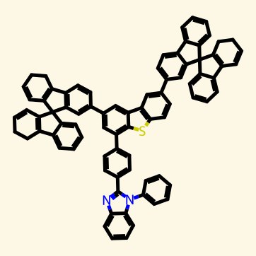 C1=CC2=C(CC1)c1ccccc1C21C2=C(CCC=C2)c2ccc(-c3cc(-c4ccc(-c5nc6ccccc6n5-c5ccccc5)cc4)c4sc5ccc(-c6ccc7c(c6)C6(C8=C(C=CCC8)c8ccccc86)c6ccccc6-7)cc5c4c3)cc21